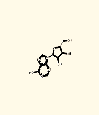 OC[C@H]1O[C@H](n2cnc3c(O)ncnc32)C(O)C1O